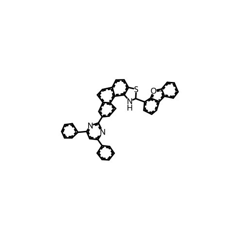 c1ccc(-c2cc(-c3ccccc3)nc(-c3ccc4c(ccc5ccc6c(c54)NC(c4cccc5c4oc4ccccc45)S6)c3)n2)cc1